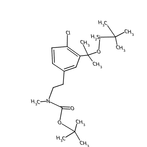 CN(CCc1ccc(Cl)c(C(C)(C)O[SiH2]C(C)(C)C)c1)C(=O)OC(C)(C)C